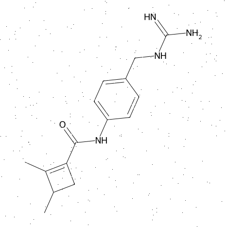 CC1=C(C(=O)Nc2ccc(CNC(=N)N)cc2)CC1C